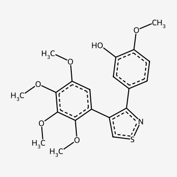 COc1ccc(-c2nscc2-c2cc(OC)c(OC)c(OC)c2OC)cc1O